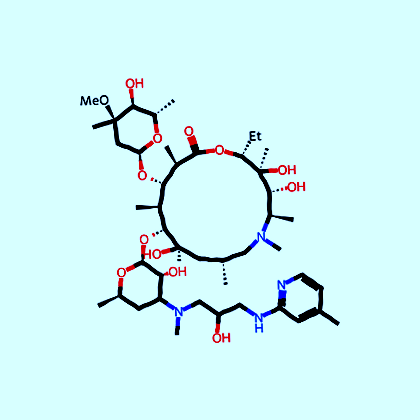 CC[C@H]1OC(=O)[C@H](C)[C@@H](O[C@H]2C[C@@](C)(OC)[C@@H](O)[C@H](C)O2)[C@H](C)[C@@H](O[C@@H]2O[C@H](C)CC(N(C)CC(O)CNc3cc(C)ccn3)[C@H]2O)[C@](C)(O)C[C@@H](C)CN(C)[C@H](C)[C@@H](O)[C@]1(C)O